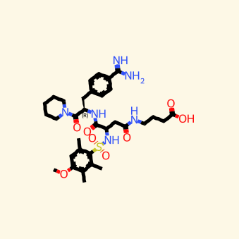 COc1cc(C)c(S(=O)(=O)NC(CC(=O)NCCCC(=O)O)C(=O)N[C@H](Cc2ccc(C(=N)N)cc2)C(=O)N2CCCCC2)c(C)c1C